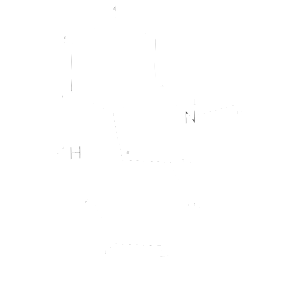 CN1C2CCCCC2[C@@H]2CCCCC21